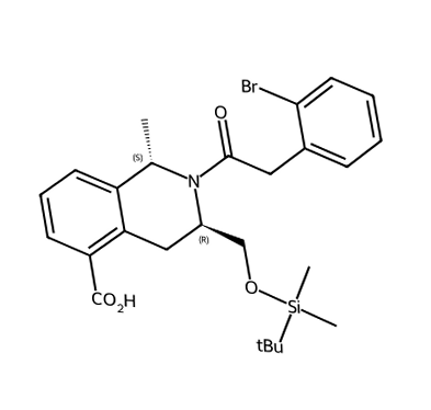 C[C@H]1c2cccc(C(=O)O)c2C[C@H](CO[Si](C)(C)C(C)(C)C)N1C(=O)Cc1ccccc1Br